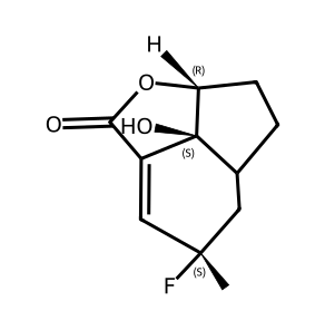 C[C@@]1(F)C=C2C(=O)O[C@@H]3CCC(C1)[C@]23O